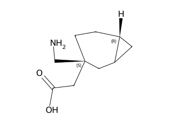 NC[C@@]1(CC(=O)O)CC[C@@H]2CC2C1